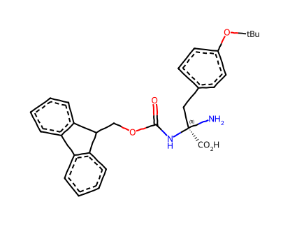 CC(C)(C)Oc1ccc(C[C@@](N)(NC(=O)OCC2c3ccccc3-c3ccccc32)C(=O)O)cc1